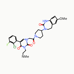 CNCCn1c(=O)c(-c2cccc(F)c2Cl)cn(CC(=O)N2CCC(N3CCc4cc(OC)ccc4NC3=O)CC2)c1=O